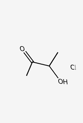 CC(=O)C(C)O.[C]